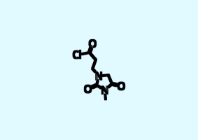 CN1C(=O)CN(CCC(=O)Cl)C1=O